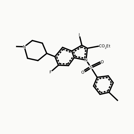 CCOC(=O)c1c(I)c2cc(C3CCN(C)CC3)c(F)cc2n1S(=O)(=O)c1ccc(C)cc1